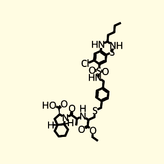 CCCCC1NSc2cc(S(=O)(=O)NCc3ccc(CSCC(NC(C)C(=O)N4[C@@H]5CCCC[C@@H]5C[C@H]4C(=O)O)C(=O)OCC)cc3)c(Cl)cc2N1